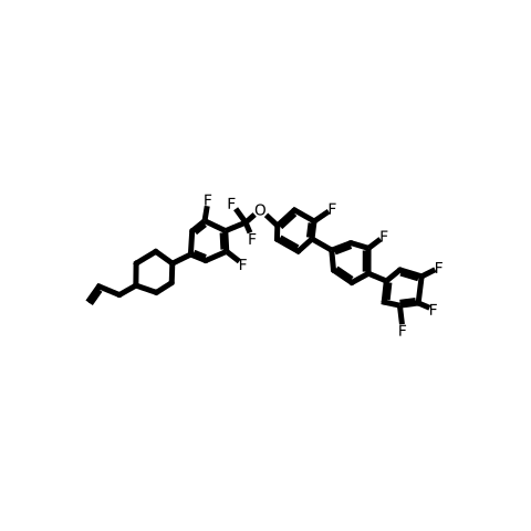 C=CCC1CCC(c2cc(F)c(C(F)(F)Oc3ccc(-c4ccc(-c5cc(F)c(F)c(F)c5)c(F)c4)c(F)c3)c(F)c2)CC1